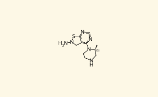 C[C@H]1CNCCN1c1ncnc2c1CN(N)S2